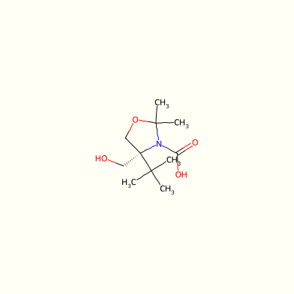 CC1(C)OC[C@](CO)(C(C)(C)C)N1C(=O)O